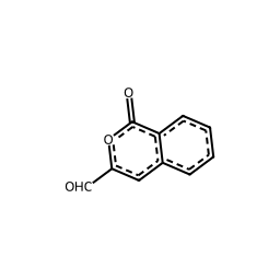 O=Cc1cc2ccccc2c(=O)o1